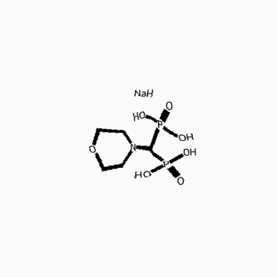 O=P(O)(O)C(N1CCOCC1)P(=O)(O)O.[NaH]